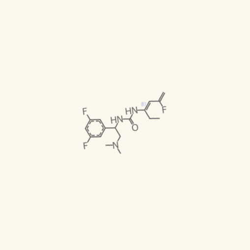 C=C(F)/C=C(\CC)NC(=O)NC(CN(C)C)c1cc(F)cc(F)c1